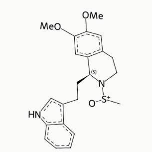 COc1cc2c(cc1OC)[C@H](CCc1c[nH]c3ccccc13)N([S+](C)[O-])CC2